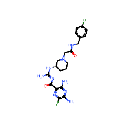 N/C(=N\C(=O)c1nc(Cl)c(N)nc1N)N[C@H]1CCCN(CC(=O)NCc2ccc(Cl)cc2)C1